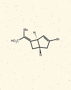 CC(C)C1=C[C@@H]2C(=C(C(=O)O)C(C)(C)C)C[C@H]2C1